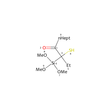 CCCCCCCC(=O)C(S)(CC)[Si](OC)(OC)OC